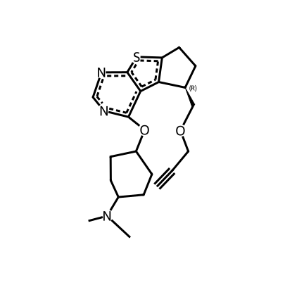 C#CCOC[C@@H]1CCc2sc3ncnc(OC4CCC(N(C)C)CC4)c3c21